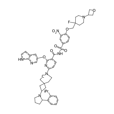 CC(C)c1ccccc1C1CCCN1C1CC2(CCN(c3ccc(C(=O)NS(=O)(=O)c4ccc(OCC5(F)CCN(C6COC6)CC5)c([N+](=O)[O-])c4)c(Oc4cnc5[nH]ccc5c4)n3)CC2)C1